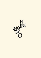 CC1(C)CN[C@H]([C@H](O)C[Si](C)(c2ccccc2)c2ccccc2)C1